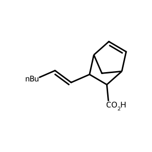 CCCCC=CC1C2C=CC(C2)C1C(=O)O